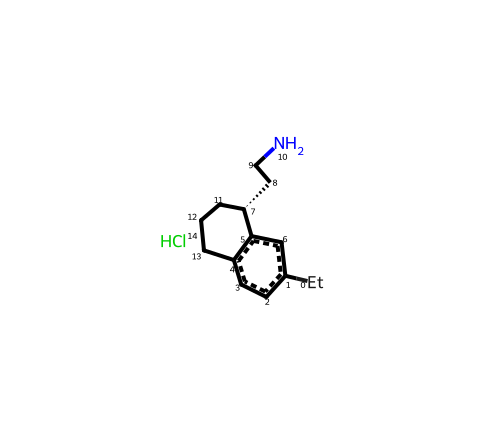 CCc1ccc2c(c1)[C@@H](CCN)CCC2.Cl